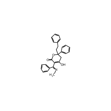 CN=C(C1=C(O)CC(CCc2ccccc2)(c2ccccc2)OC1=O)c1ccccc1